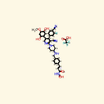 COc1cc(O)c(-c2cnc(N3CCC(NCc4ccc(/C=C/C(=O)NO)cc4)CC3)c(C#N)c2-c2ccc(C#N)c(F)c2)cc1O.O=C(O)C(F)(F)F